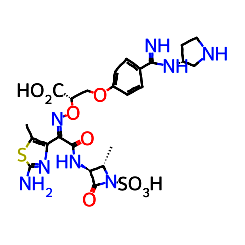 Cc1sc(N)nc1/C(=N/O[C@@H](COc1ccc(C(=N)N[C@@H]2CCNC2)cc1)C(=O)O)C(=O)N[C@@H]1C(=O)N(S(=O)(=O)O)[C@H]1C